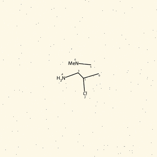 CC(Cl)CN.CNC